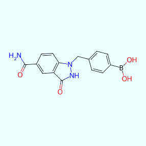 NC(=O)c1ccc2c(c1)c(=O)[nH]n2Cc1ccc(B(O)O)cc1